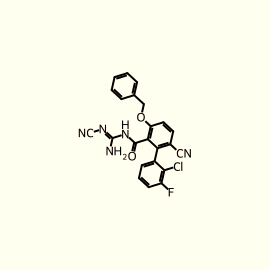 N#C/N=C(\N)NC(=O)c1c(OCc2ccccc2)ccc(C#N)c1-c1cccc(F)c1Cl